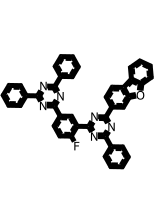 Fc1ccc(-c2nc(-c3ccccc3)nc(-c3ccccc3)n2)cc1-c1nc(-c2ccccc2)nc(-c2ccc3c(c2)oc2ccccc23)n1